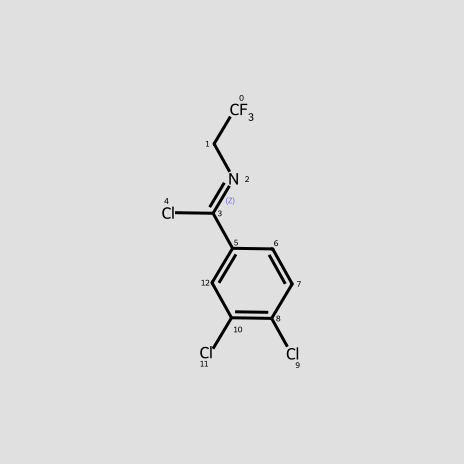 FC(F)(F)C/N=C(\Cl)c1ccc(Cl)c(Cl)c1